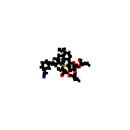 CS[C@H]1C(c2ccc(C)c(Cc3ccc(-c4cccc(C#N)c4)s3)c2)O[C@H](OC(C)=O)[C@@H](OC(C)=O)[C@@H]1OC(C)=O